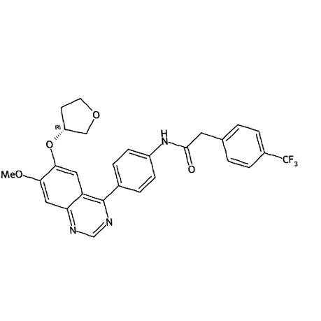 COc1cc2ncnc(-c3ccc(NC(=O)Cc4ccc(C(F)(F)F)cc4)cc3)c2cc1O[C@@H]1CCOC1